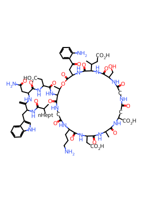 C=C(NC(CC(N)=O)C(=O)NC(CC(=O)O)C(=O)NC1C(=O)NCC(=O)NC(CCCN)C(=O)NC(CC(=O)O)C(=O)NC(C)C(=O)NC(C(=O)O)CC(=O)NCC(=O)NC(CO)C(=O)NC(C(C)CC(=O)O)C(=O)NC(CC(=O)c2ccccc2N)C(=O)OC1C)C(Cc1c[nH]c2ccccc12)NC(=O)C(C)CCCCCCC